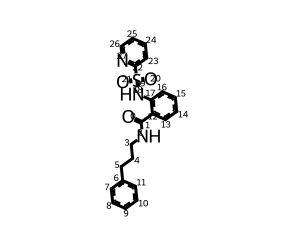 O=C(NCCCc1ccccc1)c1ccccc1NS(=O)(=O)c1ccccn1